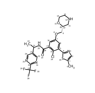 Cc1cnc(-c2cc(OC[C@H]3CNCCO3)cc(C(=O)NC(C)c3cnc(C(F)(F)F)nc3)c2Cl)s1